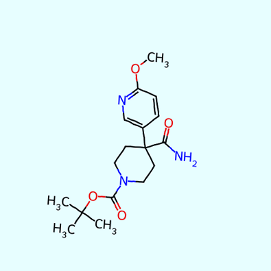 COc1ccc(C2(C(N)=O)CCN(C(=O)OC(C)(C)C)CC2)cn1